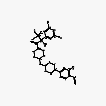 O=Cc1ccc(N2CCC(CC3CCN(C(=O)C(O)(c4cc(F)cc(F)c4)C(F)(F)F)CC3)CC2)cc1Cl